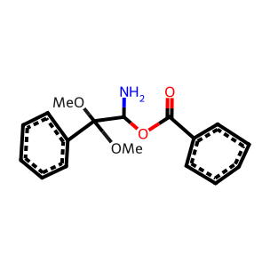 COC(OC)(c1ccccc1)C(N)OC(=O)c1ccccc1